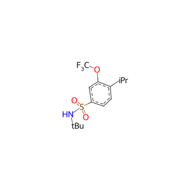 CC(C)c1ccc(S(=O)(=O)NC(C)(C)C)cc1OC(F)(F)F